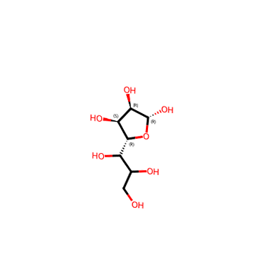 OCC(O)C(O)[C@H]1O[C@@H](O)[C@H](O)[C@@H]1O